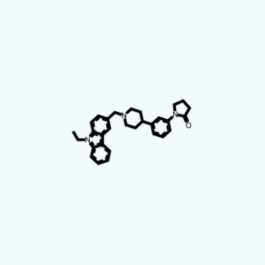 CCn1c2ccccc2c2cc(CN3CCC(c4cccc(N5CCCC5=O)c4)CC3)ccc21